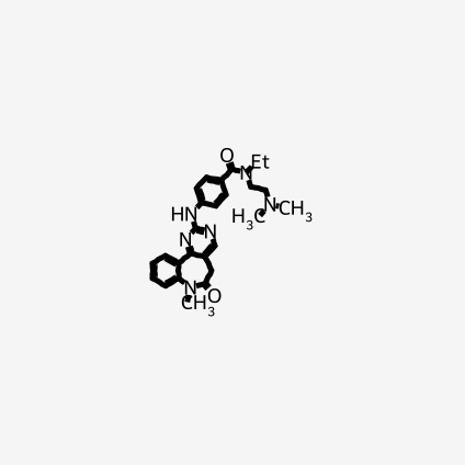 CCN(CCN(C)C)C(=O)c1ccc(Nc2ncc3c(n2)-c2ccccc2N(C)C(=O)C3)cc1